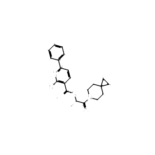 C[C@@H](NC(=O)c1ccc(-c2ccccc2)nc1N)C(=O)N1CCC2(CC1)CC2